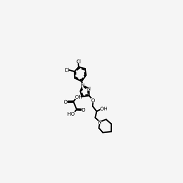 O=C(O)C(=O)O.OC(COc1ccn(-c2ccc(Cl)c(Cl)c2)n1)CN1CCCCC1